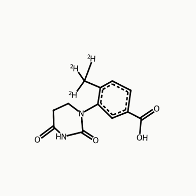 [2H]C([2H])([2H])c1ccc(C(=O)O)cc1N1CCC(=O)NC1=O